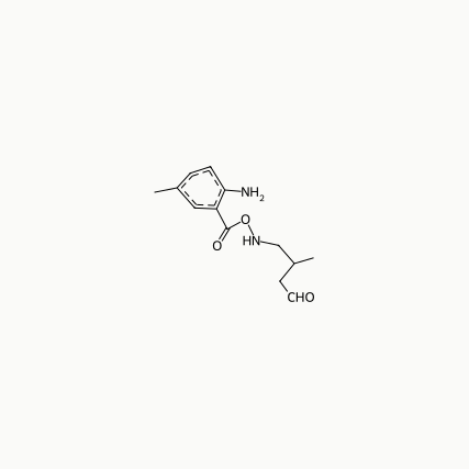 Cc1ccc(N)c(C(=O)ONCC(C)CC=O)c1